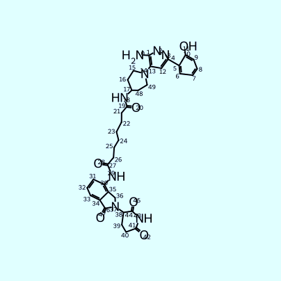 Nc1nnc(-c2ccccc2O)cc1N1CCC(NC(=O)CCCCCCC(=O)Nc2cccc3c2CN(C2CCC(=O)NC2=O)C3=O)CC1